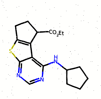 CCOC(=O)C1CCc2sc3ncnc(NC4CCCC4)c3c21